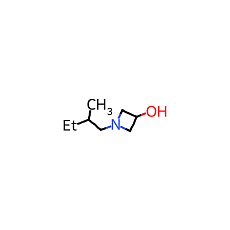 CCC(C)CN1CC(O)C1